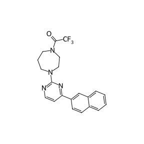 O=C(N1CCCN(c2nccc(-c3ccc4ccccc4c3)n2)CC1)C(F)(F)F